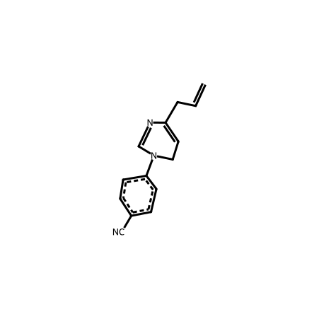 C=CCC1=CCN(c2ccc(C#N)cc2)C=N1